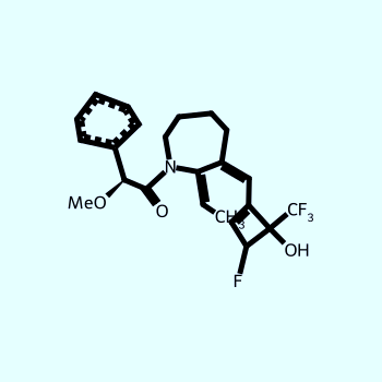 C/C=C1\C(=C/C2=CC(F)C2(O)C(F)(F)F)CCCCN1C(=O)[C@@H](OC)c1ccccc1